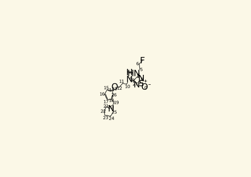 [O-][s+]1nc(NCCF)c(NCCCOc2cccc(CN3CCCCC3)c2)n1